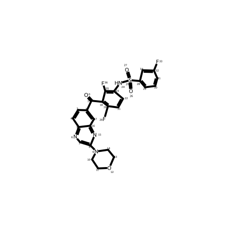 O=C(c1ccc2ncc(N3CCOCC3)nc2c1)c1c(F)ccc(NS(=O)(=O)c2cccc(F)c2)c1F